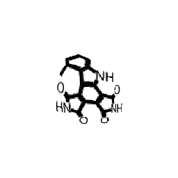 Cc1cccc2[nH]c3c4c(=O)[nH]c(=O)c4c4c(=O)[nH]c(=O)c4c3c12